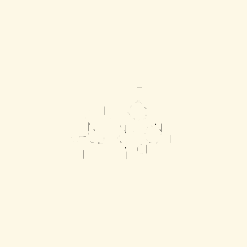 CCn1cc(C2=NC(c3ccc(F)cc3)(c3ccc(F)nc3)C(C)N2)cc(F)c1=O